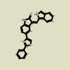 O=C1Nc2ccc(-c3csc(-c4ccccc4)n3)cc2/C1=C/c1[nH]cc2ccccc12